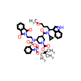 COCCCC(c1c[nH]c2ccccc12)N(C(=O)[C@@H]1C[C@H](N(CCN2C(=O)c3ccccc3C2=O)S(=O)(=O)c2ccccc2[N+](=O)[O-])CN(C(=O)OC(C)(C)C)C1)C1CC1